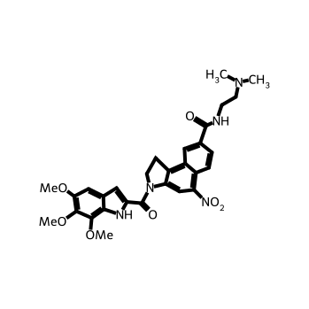 COc1cc2cc(C(=O)N3CCc4c3cc([N+](=O)[O-])c3ccc(C(=O)NCCN(C)C)cc43)[nH]c2c(OC)c1OC